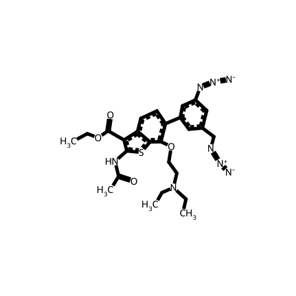 CCOC(=O)c1c(NC(C)=O)sc2c(OCCN(CC)CC)c(-c3cc(CN=[N+]=[N-])cc(N=[N+]=[N-])c3)ccc12